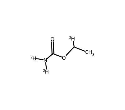 [2H]C(C)OC(=O)N([2H])[2H]